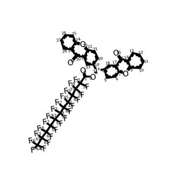 O=C(O[I+](c1ccc2oc3ccccc3c(=O)c2c1)c1ccc2oc3ccccc3c(=O)c2c1)C(F)(F)C(F)(F)C(F)(F)C(F)(F)C(F)(F)C(F)(F)C(F)(F)C(F)(F)C(F)(F)C(F)(F)C(F)(F)F